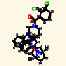 Cc1nc2ccccc2n1C1C[C@H]2CC[C@@H](C1)N2CCC1(c2ccccc2)CCN(C(=O)c2cccc(Cl)c2Cl)CC1